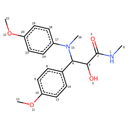 CNC(=O)C(O)C(c1ccc(OC)cc1)N(C)c1ccc(OC)cc1